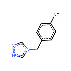 [C-]#[N+]c1ccc(Cn2cnnc2)cc1